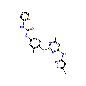 Cc1cc(Nc2cc(C)nc(Oc3ccc(NC(=O)Nc4cccs4)cc3C)n2)[nH]n1